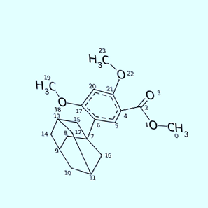 COC(=O)c1cc(C23CC4CC(CC(C4)C2)C3)c(OC)cc1OC